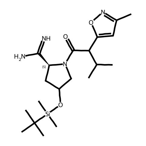 Cc1cc(C(C(=O)N2CC(O[Si](C)(C)C(C)(C)C)C[C@H]2C(=N)N)C(C)C)on1